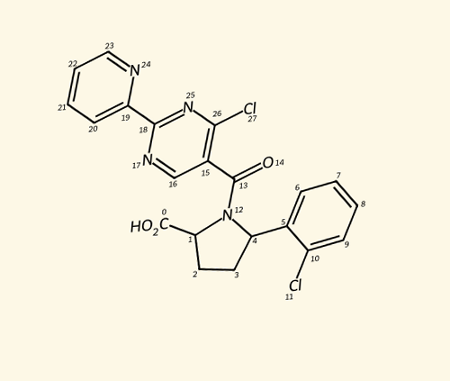 O=C(O)C1CCC(c2ccccc2Cl)N1C(=O)c1cnc(-c2ccccn2)nc1Cl